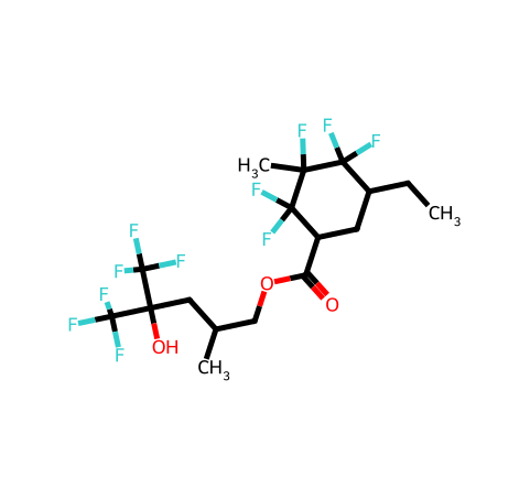 CCC1CC(C(=O)OCC(C)CC(O)(C(F)(F)F)C(F)(F)F)C(F)(F)C(C)(F)C1(F)F